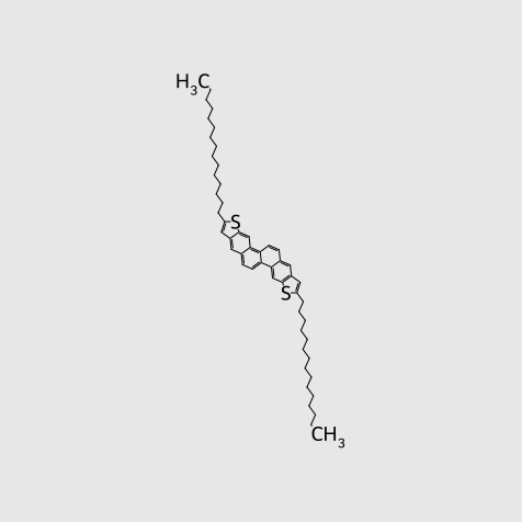 CCCCCCCCCCCCCCCc1cc2cc3ccc4c5cc6sc(CCCCCCCCCCCCCCC)cc6cc5ccc4c3cc2s1